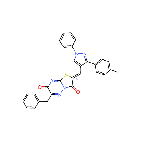 Cc1ccc(-c2nn(-c3ccccc3)cc2/C=c2\sc3nc(=O)c(Cc4ccccc4)nn3c2=O)cc1